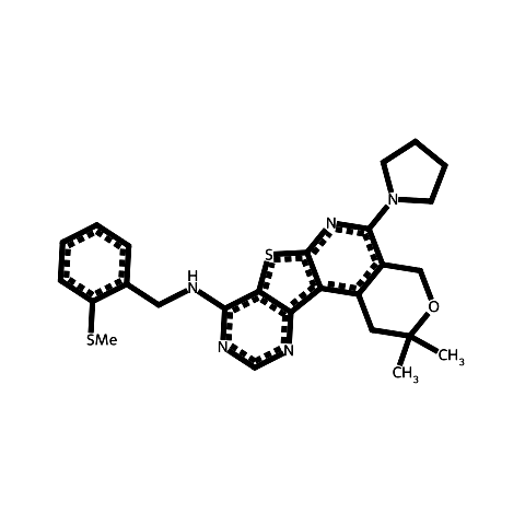 CSc1ccccc1CNc1ncnc2c1sc1nc(N3CCCC3)c3c(c12)CC(C)(C)OC3